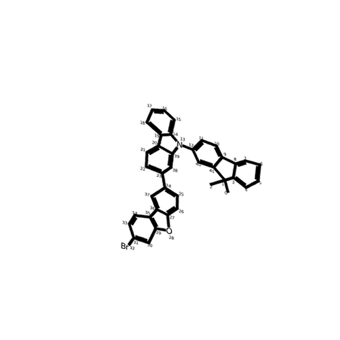 CC1(C)c2ccccc2-c2ccc(-n3c4ccccc4c4ccc(-c5ccc6oc7cc(Br)ccc7c6c5)cc43)cc21